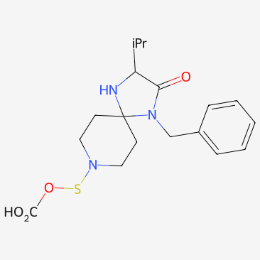 CC(C)C1NC2(CCN(SOC(=O)O)CC2)N(Cc2ccccc2)C1=O